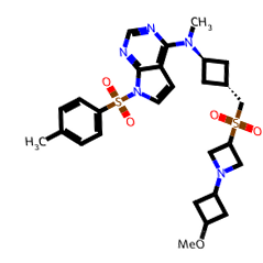 COC1CC(N2CC(S(=O)(=O)C[C@H]3C[C@H](N(C)c4ncnc5c4ccn5S(=O)(=O)c4ccc(C)cc4)C3)C2)C1